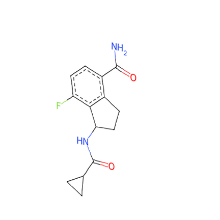 NC(=O)c1ccc(F)c2c1CCC2NC(=O)C1CC1